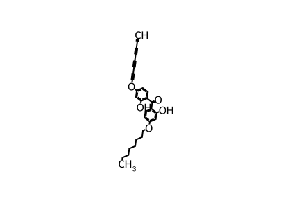 C#CC#CC#CC#COc1ccc(C(=O)c2ccc(OCCCCCCCC)cc2O)c(O)c1